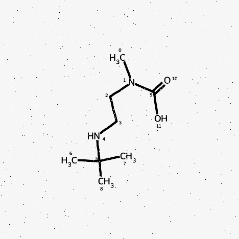 CN(CCNC(C)(C)C)C(=O)O